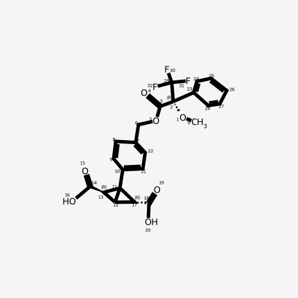 CO[C@@](C(=O)OCc1ccc(C23C([C@H]2C(=O)O)[C@H]3C(=O)O)cc1)(c1ccccc1)C(F)(F)F